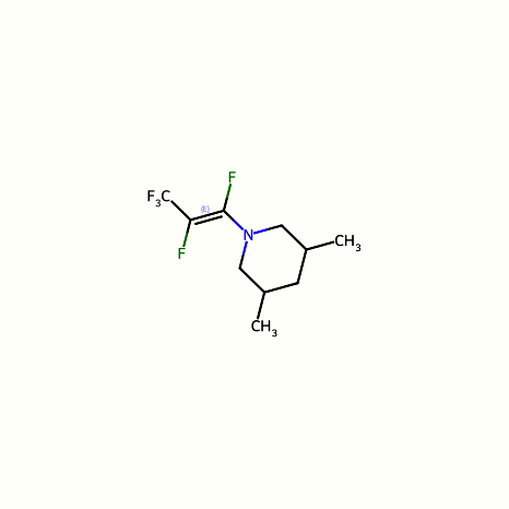 CC1CC(C)CN(/C(F)=C(\F)C(F)(F)F)C1